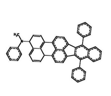 CN(c1ccccc1)C1C=CC2=C3C1=CC=CC3c1ccc3c4c(ccc2c14)-c1c-3c(-c2ccccc2)c2ccccc2c1-c1ccccc1